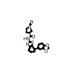 N#CN1CC[C@H](C(=O)Nc2nc3cccc(-c4ccc5c(c4)OCO5)c3s2)C1